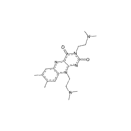 Cc1cc2nc3c(=O)n(CCN(C)C)c(=O)nc-3n(CCN(C)C)c2cc1C